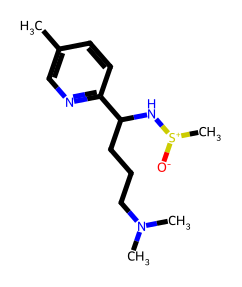 Cc1ccc(C(CCCN(C)C)N[S+](C)[O-])nc1